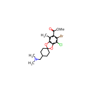 COC(=O)c1c(C)c2c(c(Cl)c1Br)OC1(CCC(CN(C)C)CC1)O2